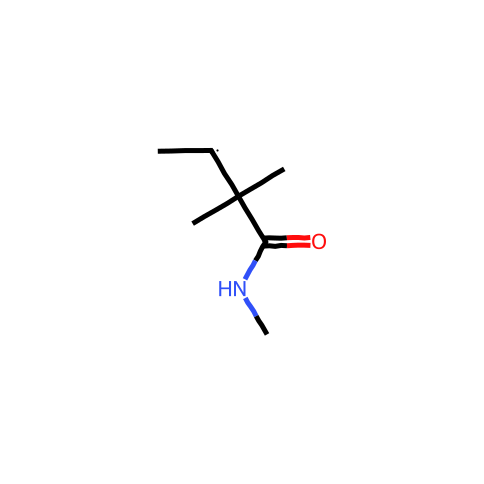 C[CH]C(C)(C)C(=O)NC